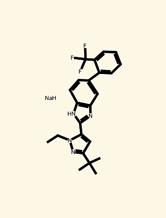 CCn1nc(C(C)(C)C)cc1-c1nc2cc(-c3ccccc3C(F)(F)F)ccc2[nH]1.[NaH]